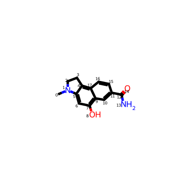 CN1CCc2c1cc(O)c1cc(C(N)=O)ccc21